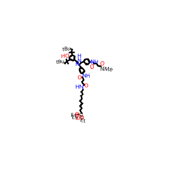 CCO[Si](CCCCCCCCCCCNC(=O)CCC(=O)Nc1ccc(-c2nc(-c3cc(C(C)(C)CC(C)(C)C)c(O)c(C(C)(C)CC(C)(C)C)c3)[nH]c2-c2ccc(NC(=O)CCC(=O)NC)cc2)cc1)(OCC)OCC